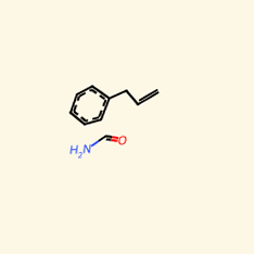 C=CCc1ccccc1.NC=O